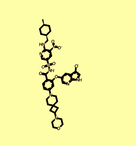 C[C@H]1CC[C@@H](CNc2ncc(S(=O)(=O)NC(=O)c3ccc(N4CCC5(CC4)CC(N4CCOCC4)C5)cc3Oc3cnc4[nH]cc(Cl)c4c3)cc2[N+](=O)[O-])CC1